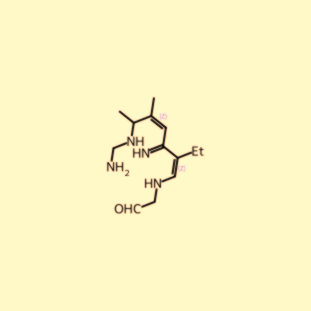 CC/C(=C/NCC=O)C(=N)/C=C(/C)C(C)NCN